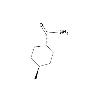 C[C@H]1CC[C@H](C(N)=O)CC1